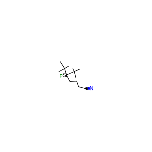 CC(C)(C)[Si](F)(CCCC#N)C(C)(C)C